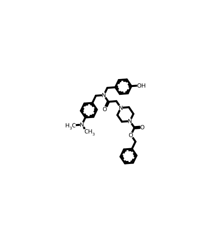 CN(C)c1ccc(CN(Cc2ccc(O)cc2)C(=O)CN2CCN(C(=O)OCc3ccccc3)CC2)cc1